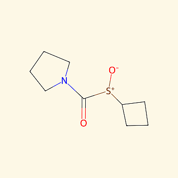 O=C(N1CCCC1)[S+]([O-])C1CCC1